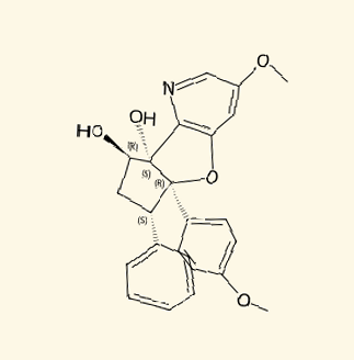 COc1ccc([C@@]23Oc4cc(OC)cnc4[C@]2(O)[C@H](O)C[C@H]3c2ccccc2)cc1